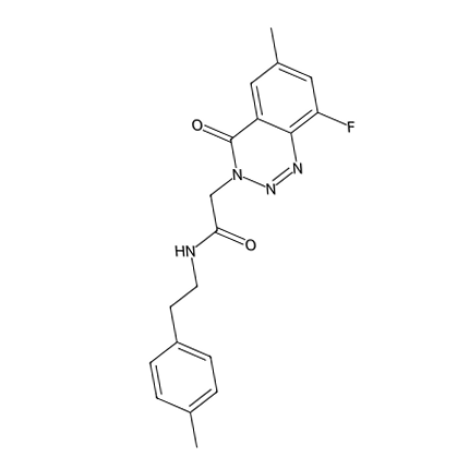 Cc1ccc(CCNC(=O)Cn2nnc3c(F)cc(C)cc3c2=O)cc1